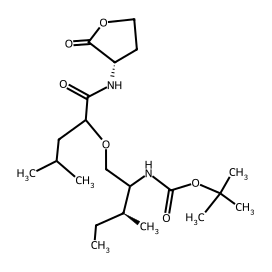 CC[C@H](C)C(COC(CC(C)C)C(=O)N[C@H]1CCOC1=O)NC(=O)OC(C)(C)C